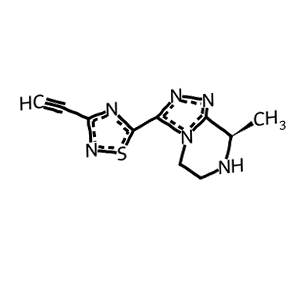 C#Cc1nsc(-c2nnc3n2CCN[C@@H]3C)n1